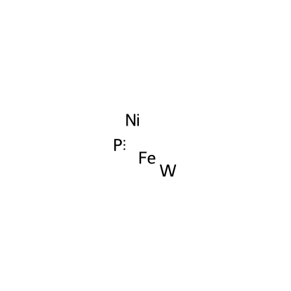 [Fe].[Ni].[P].[W]